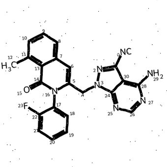 [C-]#[N+]c1nn(Cc2cc3cccc(C)c3c(=O)n2-c2ccccc2F)c2ncnc(N)c12